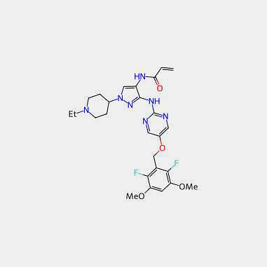 C=CC(=O)Nc1cn(C2CCN(CC)CC2)nc1Nc1ncc(OCc2c(F)c(OC)cc(OC)c2F)cn1